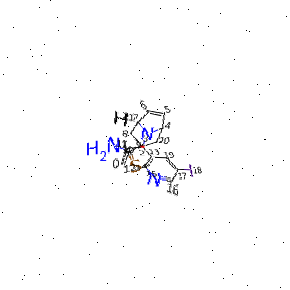 C=CCN1C2C=C[C@@H]1CC(C(N)=S)(c1cncc(I)c1)C2